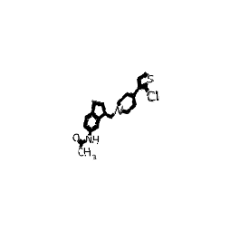 CC(=O)Nc1ccc2c(c1)C(CN1CCC(c3ccsc3Cl)CC1)CC2